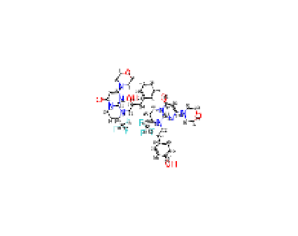 O=c1cc(N2CCOCC2)nc2n1CC[C@@H](C(F)(F)F)N2CC(O)Cc1ccccc1.O=c1cc(N2CCOCC2)nc2n1CC[C@@H](C(F)(F)F)N2CCc1ccc(O)cc1